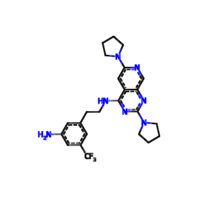 Nc1cc(CCNc2nc(N3CCCC3)nc3cnc(N4CCCC4)cc23)cc(C(F)(F)F)c1